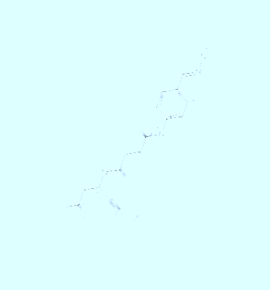 C[Si](C)(C)C#CC(CC(=O)O)NC(=O)CCC(=O)Nc1ccc(C=NN)cc1